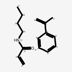 C=C(C)c1ccccc1.C=CC(=O)NCCCC